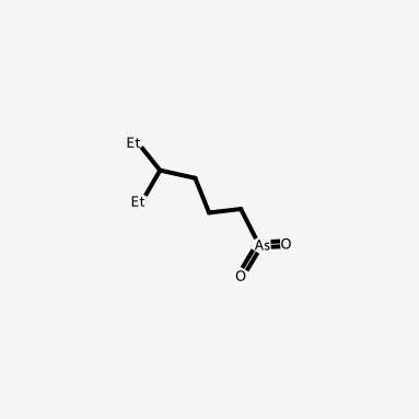 CCC(CC)CCC[As](=O)=O